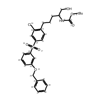 CC(C)(C)OC(=O)NC(CO)CCCc1ccc(S(=O)(=O)c2cccc(OCc3ccccc3)c2)cc1Cl